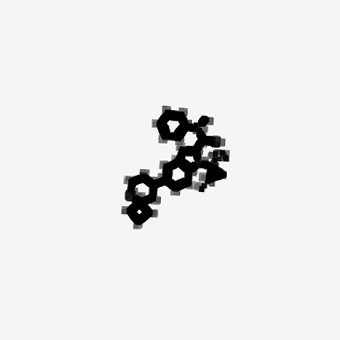 C[C@H]1C[C@]1(C#N)n1c(C(=O)N(C)c2ccccc2)cc2cc(C3CCOC4(CCC4)C3)ccc21